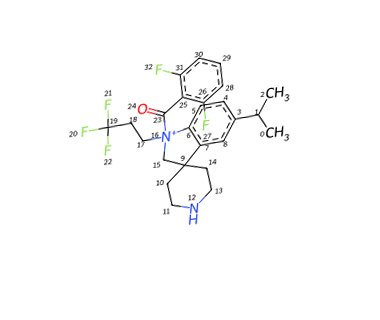 CC(C)c1ccc2c(c1)C1(CCNCC1)C[N+]2(CCC(F)(F)F)C(=O)c1c(F)cccc1F